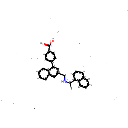 C[C@@H](NCc1cc(-c2ccc(C(=O)O)cc2)c2ccccc2c1)c1cccc2ccccc12